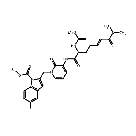 COC(=O)NC(CCC=CC(=O)N(C)C)C(=O)Nc1cccn(Cc2cc3cc(F)ccc3n2C(=O)OC(C)(C)C)c1=O